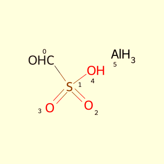 O=CS(=O)(=O)O.[AlH3]